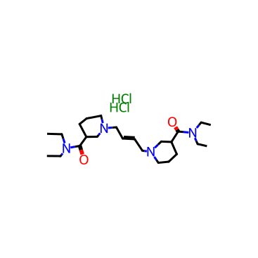 CCN(CC)C(=O)C1CCCN(CC=CCN2CCCC(C(=O)N(CC)CC)C2)C1.Cl.Cl